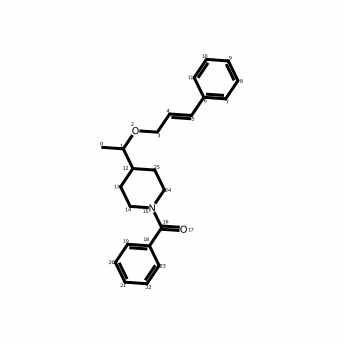 CC(OCC=Cc1ccccc1)C1CCN(C(=O)c2ccccc2)CC1